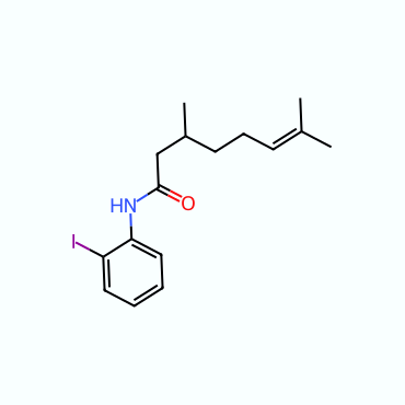 CC(C)=CCCC(C)CC(=O)Nc1ccccc1I